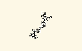 N#Cc1cc(N2CCN(CCCCNC(=O)c3cccc(Br)c3)CC2)cc(C(F)(F)F)c1